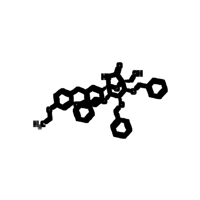 CCOc1ccc(Cc2cc([C@]34NC(=O)[C@](CO)(O3)[C@@H](OCc3ccccc3)[C@H](OCc3ccccc3)[C@H]4OCc3ccccc3)ccc2Cl)cc1